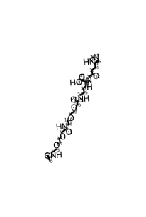 CC(=O)NCCOCCOCC(=O)NCCOCCOCC(=O)NCCCC[C@H](NCC(=O)CCc1cnc[nH]1)C(=O)O